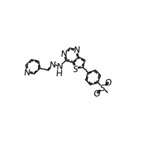 CS(=O)(=O)c1ccc(-c2cc3ncnc(NN=Cc4cccnc4)c3s2)cc1